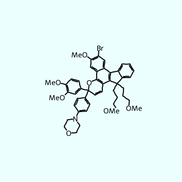 COCCCC1(CCCOC)c2ccccc2-c2c1c1c(c3cc(OC)c(Br)cc23)OC(c2ccc(N3CCOCC3)cc2)(c2ccc(OC)c(OC)c2)C=C1